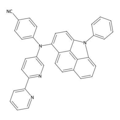 N#Cc1ccc(N(c2ccc(-c3ccccn3)nc2)c2ccc3c4c2ccc2cccc(c24)n3-c2ccccc2)cc1